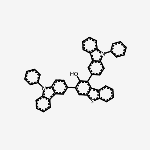 Oc1c(-c2ccc3c(c2)c2ccccc2n3-c2ccccc2)cc2sc3ccccc3c2c1-c1ccc2c(c1)c1ccccc1n2-c1ccccc1